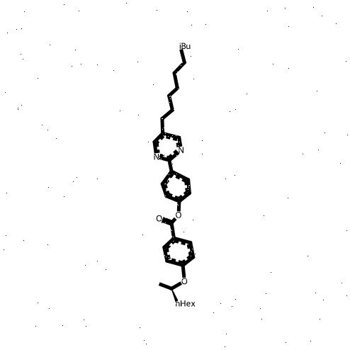 CCCCCC[C@@H](C)Oc1ccc(C(=O)Oc2ccc(-c3ncc(CCCCCCC(C)CC)cn3)cc2)cc1